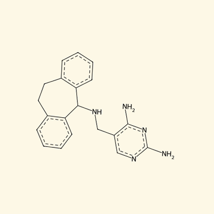 Nc1ncc(CNC2c3ccccc3CCc3ccccc32)c(N)n1